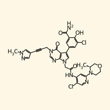 C[C@H]1COCCN1c1cc(NC(=O)Cn2cc(-c3cc(Cl)c(O)c(C(N)=O)c3)c3c(=O)n(CC#Cc4cnn(C)c4)cnc32)c(Cl)cn1